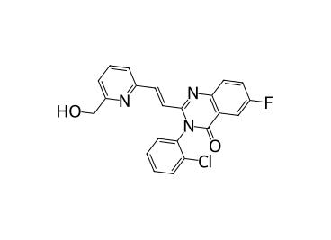 O=c1c2cc(F)ccc2nc(C=Cc2cccc(CO)n2)n1-c1ccccc1Cl